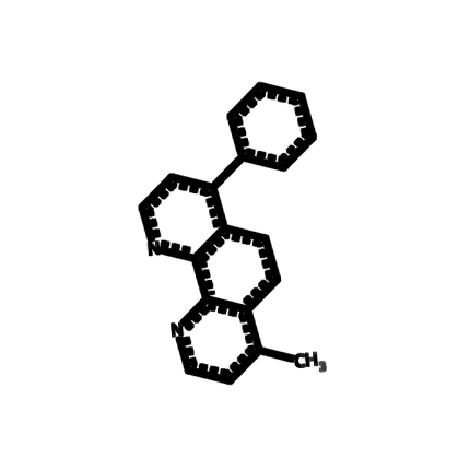 Cc1ccnc2c1ccc1c(-c3ccccc3)ccnc12